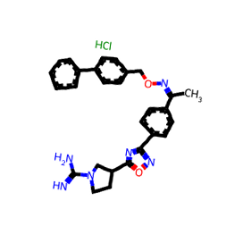 CC(=NOCc1ccc(-c2ccccc2)cc1)c1ccc(-c2noc(C3CCN(C(=N)N)C3)n2)cc1.Cl